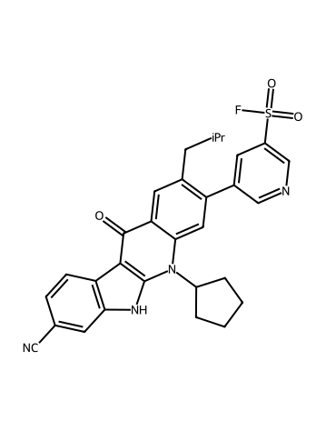 CC(C)Cc1cc2c(=O)c3c4ccc(C#N)cc4[nH]c3n(C3CCCC3)c2cc1-c1cncc(S(=O)(=O)F)c1